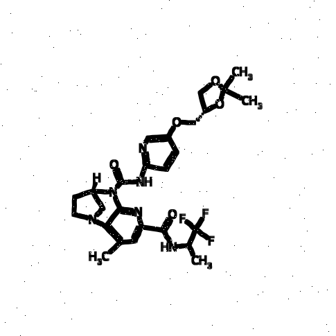 Cc1cc(C(=O)NC(C)C(F)(F)F)nc2c1N1CC[C@@H](C1)N2C(=O)Nc1ccc(OC[C@@H]2COC(C)(C)O2)cn1